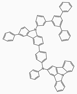 c1ccc(-c2cc(-c3ccccc3)cc(-c3cccc(-n4c5ccc(-c6ccccc6)cc5c5cc(-c6ccc(N(c7ccccc7)c7cc8c9ccccc9n9c%10ccccc%10c(c7)c89)cc6)ccc54)c3)c2)cc1